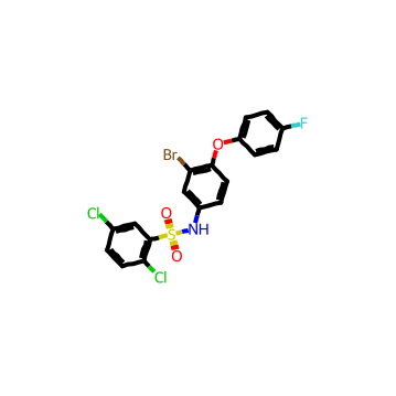 O=S(=O)(Nc1ccc(Oc2ccc(F)cc2)c(Br)c1)c1cc(Cl)ccc1Cl